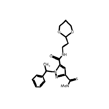 CNC(=S)c1cc(C(=O)NCCC2OCCCO2)n(C(C)c2ccccc2)n1